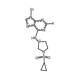 CCn1cnc2c(N[C@H]3CCN(S(=O)(=O)C4CC4)C3)nc(F)nc21